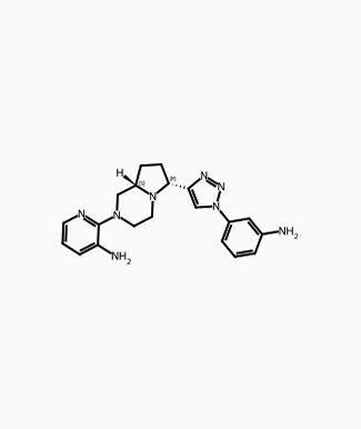 Nc1cccc(-n2cc([C@H]3CC[C@H]4CN(c5ncccc5N)CCN43)nn2)c1